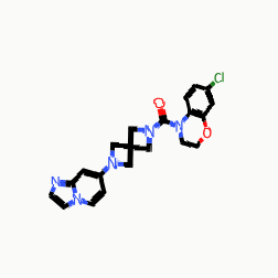 O=C(N1CC2(C1)CN(c1ccn3ccnc3c1)C2)N1CCOc2cc(Cl)ccc21